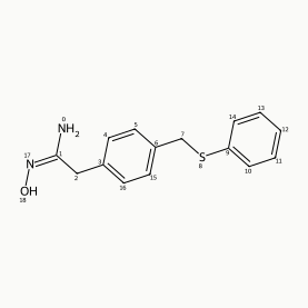 N/C(Cc1ccc(CSc2ccccc2)cc1)=N/O